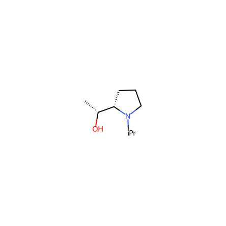 CC(C)N1CCC[C@H]1[C@@H](C)O